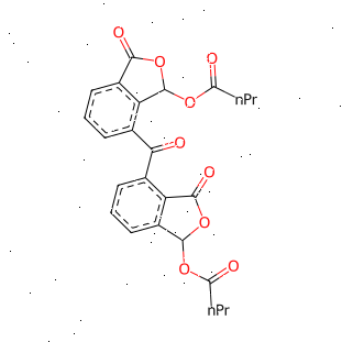 CCCC(=O)OC1OC(=O)c2c(C(=O)c3cccc4c3C(OC(=O)CCC)OC4=O)cccc21